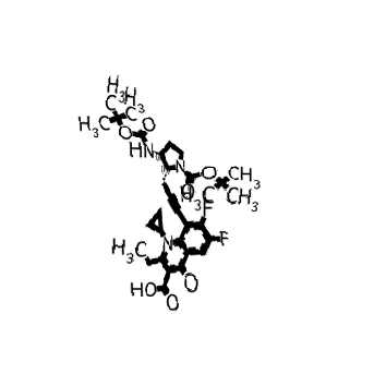 CCc1c(C(=O)O)c(=O)c2cc(F)c(F)c(C#CC[C@@H]3[C@H](NC(=O)OC(C)(C)C)CCN3C(=O)OC(C)(C)C)c2n1C1CC1